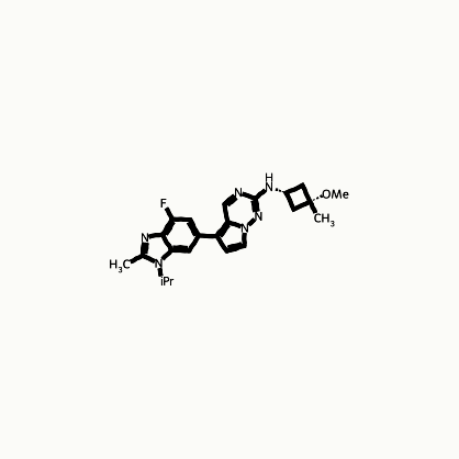 CO[C@]1(C)C[C@H](Nc2ncc3c(-c4cc(F)c5nc(C)n(C(C)C)c5c4)ccn3n2)C1